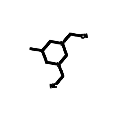 CC1CN(CC#N)CN(CC#N)C1